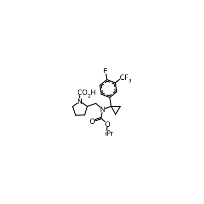 CC(C)OC(=O)N(CC1CCCN1C(=O)O)C1(c2ccc(F)c(C(F)(F)F)c2)CC1